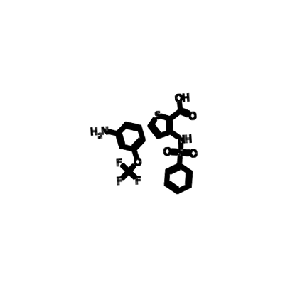 Nc1cccc(OC(F)(F)F)c1.O=C(O)c1sccc1NS(=O)(=O)c1ccccc1